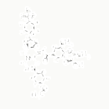 COc1ccc(N2CCN(Cc3nc(-c4ccc(C(F)(F)F)cc4)sc3CCC(=O)c3ccc(OC(C)C(=O)O)c(C)c3)CC2)cc1